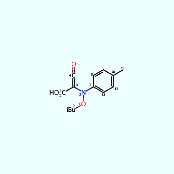 CCC(C)ON(C(=C=O)C(=O)O)c1ccc(C)cc1